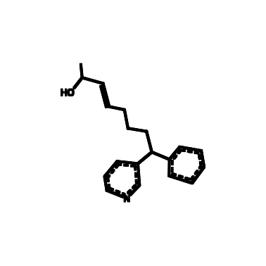 CC(O)C=CCCCC(c1ccccc1)c1cccnc1